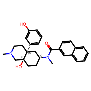 CN1CC[C@@]2(c3cccc(O)c3)C[C@@H](N(C)C(=O)c3ccc4ccccc4c3)CC[C@]2(O)C1